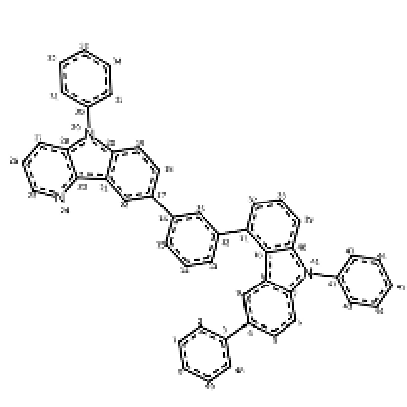 c1ccc(-c2ccc3c(c2)c2c(-c4cccc(-c5ccc6c(c5)c5ncccc5n6-c5ccccc5)c4)cccc2n3-c2ccccc2)cc1